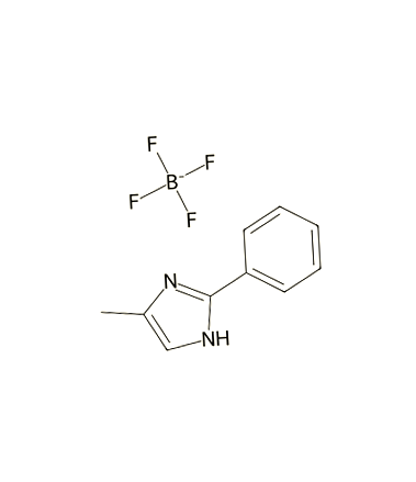 Cc1c[nH]c(-c2ccccc2)n1.F[B-](F)(F)F